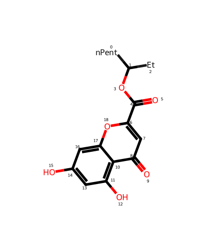 CCCCCC(CC)OC(=O)c1cc(=O)c2c(O)cc(O)cc2o1